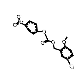 COc1ccc(Cl)cc1COC(=O)Oc1ccc([N+](=O)[O-])cc1